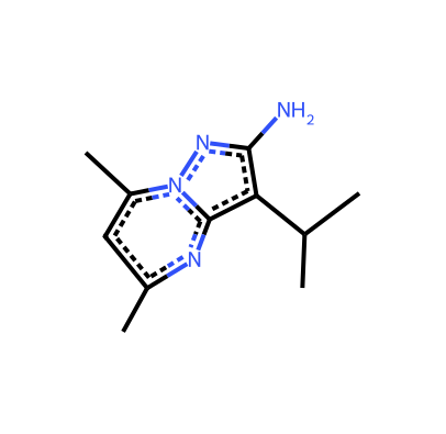 Cc1cc(C)n2nc(N)c(C(C)C)c2n1